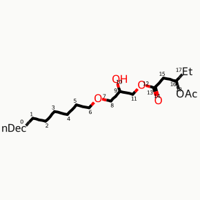 CCCCCCCCCCCCCCCCOCC(O)COC(=O)CC(CC)OC(C)=O